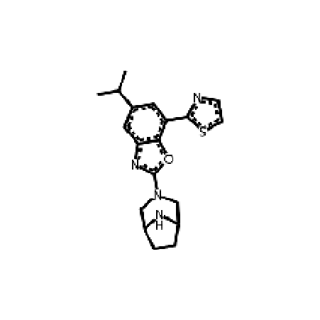 CC(C)c1cc(-c2nccs2)c2oc(N3CC4CCC(C3)N4)nc2c1